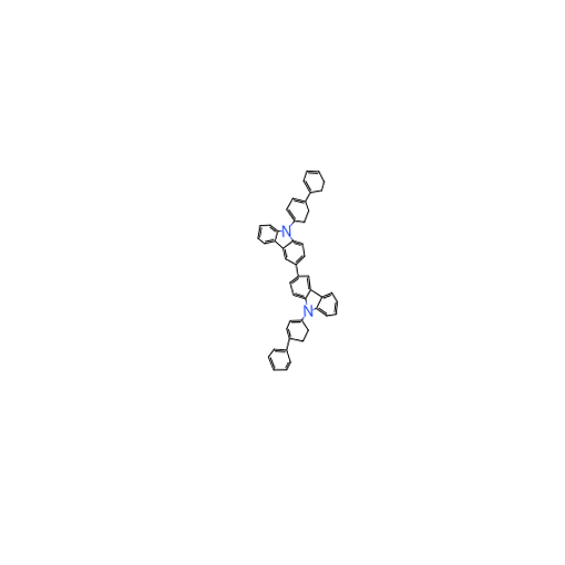 C1=CCCC(C2=CC=C(n3c4ccccc4c4cc(-c5ccc6c(c5)c5ccccc5n6C5=CC=C(c6ccccc6)CC5)ccc43)CC2)=C1